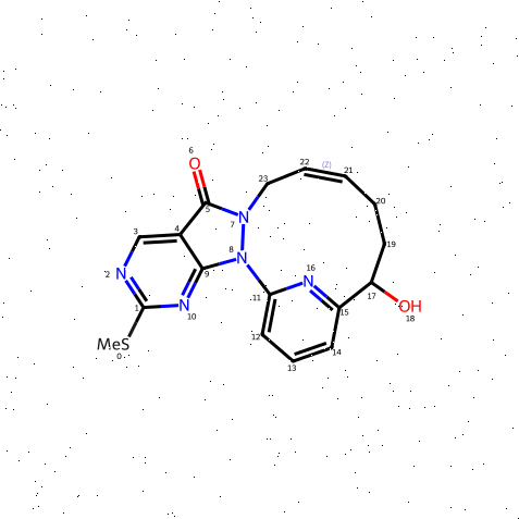 CSc1ncc2c(=O)n3n(c2n1)-c1cccc(n1)C(O)CC/C=C\C3